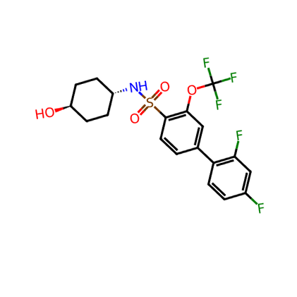 O=S(=O)(N[C@H]1CC[C@H](O)CC1)c1ccc(-c2ccc(F)cc2F)cc1OC(F)(F)F